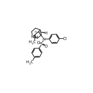 Cc1ccc(S(=O)(=O)N(c2ccc(Cl)cc2)[C@H]2C3CCN(CC3)[C@@H]2C)cc1